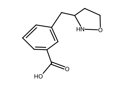 O=C(O)c1cccc(CC2CCON2)c1